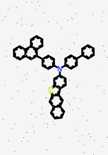 c1ccc(-c2ccc(N(c3ccc(-c4cc5ccccc5c5ccccc45)cc3)c3ccc4c(c3)sc3cc5ccccc5cc34)cc2)cc1